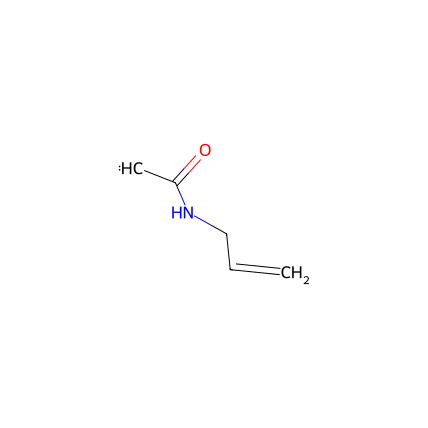 [CH]C(=O)NCC=C